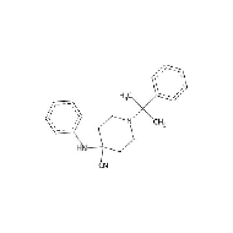 CC(C)(c1ccccc1)N1CCC(C#N)(Nc2ccccc2)CC1